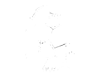 Cc1nc(-c2n[nH]c3ncnc(C)c23)c(C)c([Si](C)(C)C(C)(C)C)c1C